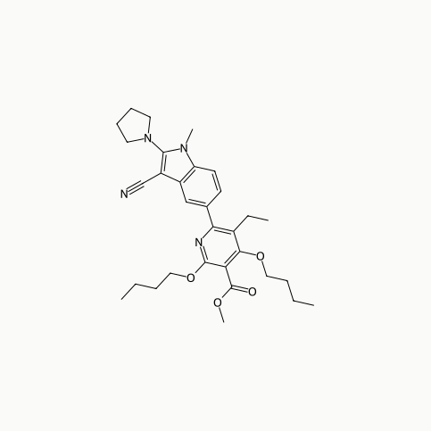 CCCCOc1nc(-c2ccc3c(c2)c(C#N)c(N2CCCC2)n3C)c(CC)c(OCCCC)c1C(=O)OC